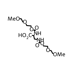 COCCOCCOC(=O)NCC(NC(=O)OCCOCCOC)C(=O)O